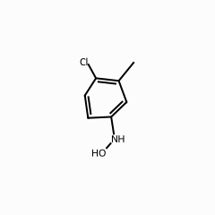 Cc1cc(NO)ccc1Cl